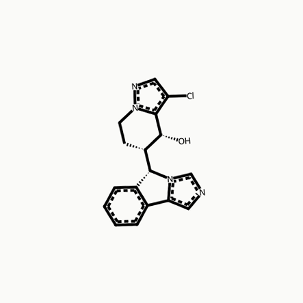 O[C@H]1c2c(Cl)cnn2CC[C@H]1[C@H]1c2ccccc2-c2cncn21